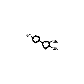 CC(C)(C)c1ccc(-c2ccc(C#N)cc2)cc1C(C)(C)C